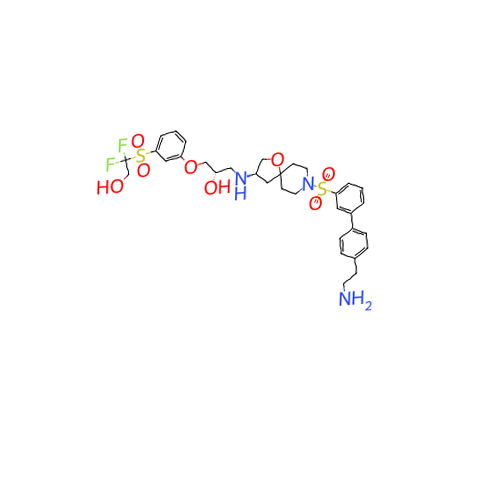 NCCc1ccc(-c2cccc(S(=O)(=O)N3CCC4(CC3)C[C@@H](NC[C@H](O)COc3cccc(S(=O)(=O)C(F)(F)CO)c3)CO4)c2)cc1